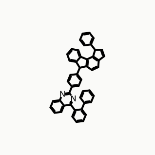 C1=CC(c2ccccc2)c2c1ccc1c2-c2ccccc2C1c1ccc(-c2nc(-c3ccccc3-c3ccccc3)c3ccccc3n2)cc1